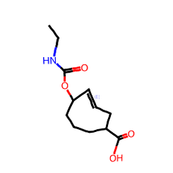 CCNC(=O)OC1/C=C/CC(C(=O)O)CCC1